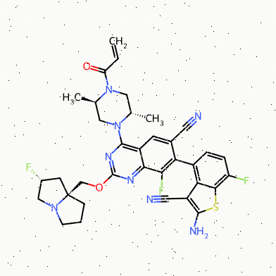 C=CC(=O)N1C[C@H](C)N(c2nc(OC[C@@]34CCCN3C[C@H](F)C4)nc3c(F)c(-c4ccc(F)c5sc(N)c(C#N)c45)c(C#N)cc23)C[C@H]1C